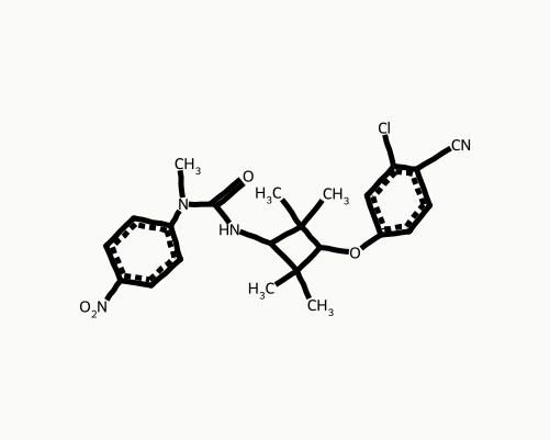 CN(C(=O)NC1C(C)(C)C(Oc2ccc(C#N)c(Cl)c2)C1(C)C)c1ccc([N+](=O)[O-])cc1